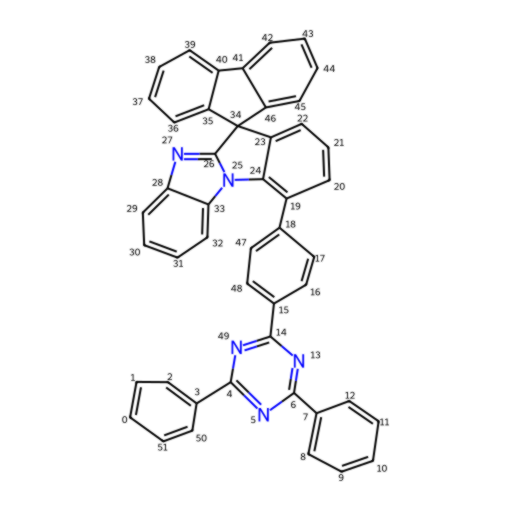 c1ccc(-c2nc(-c3ccccc3)nc(-c3ccc(-c4cccc5c4-n4c(nc6ccccc64)C54c5ccccc5-c5ccccc54)cc3)n2)cc1